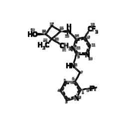 CC(C)c1ncccc1CNc1ncc(C(F)(F)F)c(N[C@@H]2C[C@H](O)C2(C)C)n1